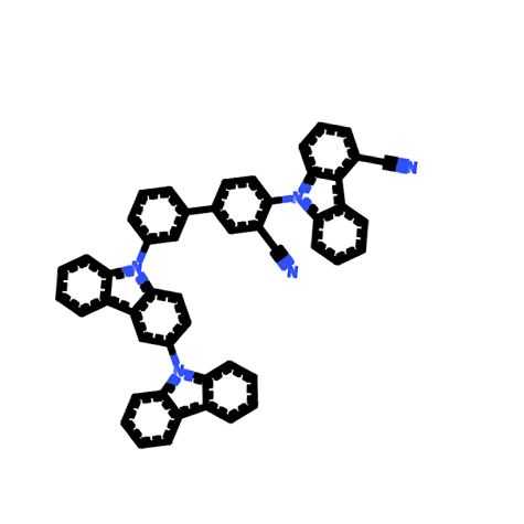 N#Cc1cc(-c2cccc(-n3c4ccccc4c4cc(-n5c6ccccc6c6ccccc65)ccc43)c2)ccc1-n1c2ccccc2c2c(C#N)cccc21